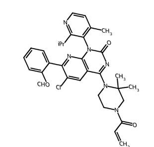 C=CC(=O)N1CCN(c2nc(=O)n(-c3c(C)ccnc3C(C)C)c3nc(-c4ccccc4C=O)c(Cl)cc23)C(C)(C)C1